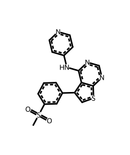 CS(=O)(=O)c1cccc(-c2csc3ncnc(Nc4ccncc4)c23)c1